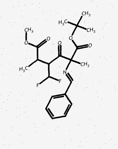 COC(=O)C(C)C(C(=O)C(C)(N=Cc1ccccc1)C(=O)OC(C)(C)C)C(F)F